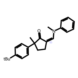 CN(/C=C1/CCC(C)(c2ccc(C(C)(C)C)cc2)C1=O)c1ccccc1